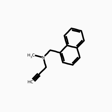 C#CCN(C)Cc1cccc2ccccc12